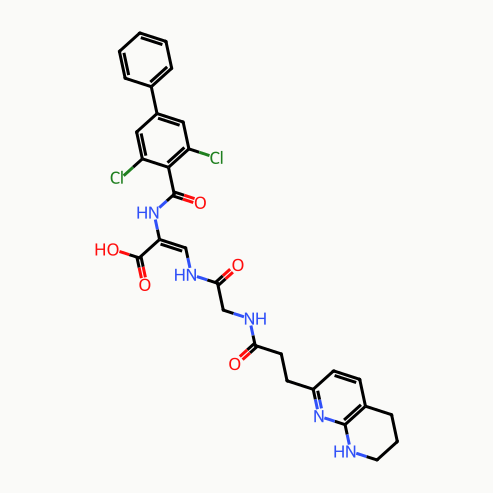 O=C(CNC(=O)CCc1ccc2c(n1)NCCC2)N/C=C(/NC(=O)c1c(Cl)cc(-c2ccccc2)cc1Cl)C(=O)O